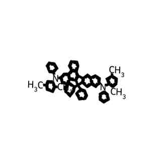 Cc1ccc(C)c(N(c2ccccc2)c2ccc3cc4c(cc3c2)C(c2ccccc2)(c2ccccc2)c2c-4c3ccccc3c3cc(N(c4ccccc4)c4cc(C)ccc4C)ccc23)c1